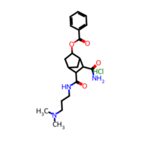 CN(C)CCCNC(=O)C1C2CC(OC(=O)c3ccccc3)C(C2)C1C(N)=O.Cl